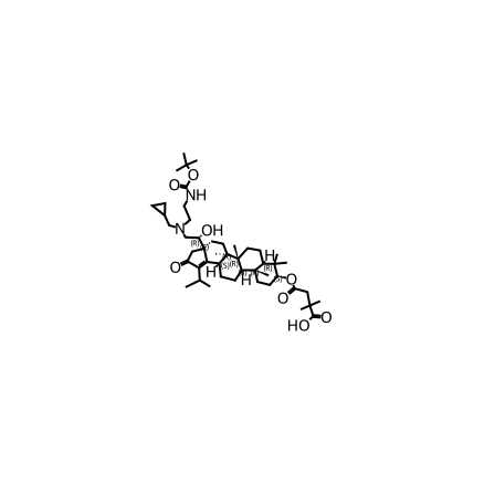 CC(C)C1=C2[C@H]3CC[C@@H]4[C@@]5(C)CC[C@H](OC(=O)CC(C)(C)C(=O)O)C(C)(C)[C@@H]5CC[C@@]4(C)[C@]3(C)CC[C@@]2([C@@H](O)CN(CCNC(=O)OC(C)(C)C)CC2CC2)CC1=O